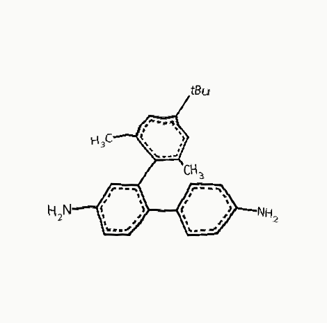 Cc1cc(C(C)(C)C)cc(C)c1-c1cc(N)ccc1-c1ccc(N)cc1